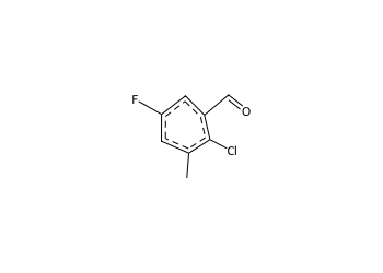 Cc1cc(F)cc(C=O)c1Cl